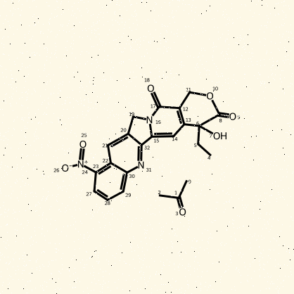 CC(C)=O.CCC1(O)C(=O)OCc2c1cc1n(c2=O)Cc2cc3c([N+](=O)[O-])cccc3nc2-1